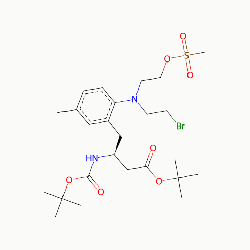 Cc1ccc(N(CCBr)CCOS(C)(=O)=O)c(C[C@@H](CC(=O)OC(C)(C)C)NC(=O)OC(C)(C)C)c1